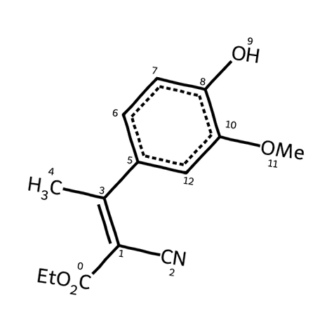 CCOC(=O)C(C#N)=C(C)c1ccc(O)c(OC)c1